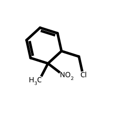 CC1([N+](=O)[O-])C=CC=CC1CCl